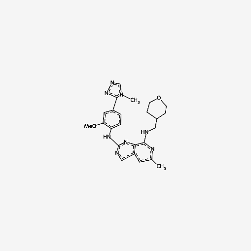 COc1cc(-c2nncn2C)ccc1Nc1ncc2cc(C)nc(NCC3CCOCC3)c2n1